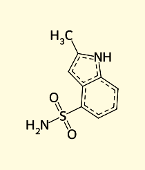 Cc1cc2c(S(N)(=O)=O)cccc2[nH]1